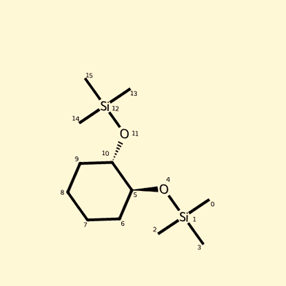 C[Si](C)(C)O[C@H]1CCCC[C@@H]1O[Si](C)(C)C